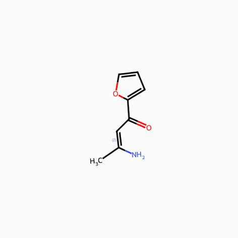 C/C(N)=C/C(=O)c1ccco1